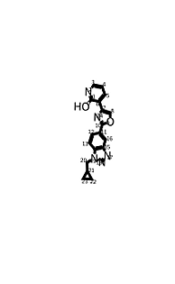 Oc1ncccc1-c1coc(-c2ccc3c(c2)nnn3CC2CC2)n1